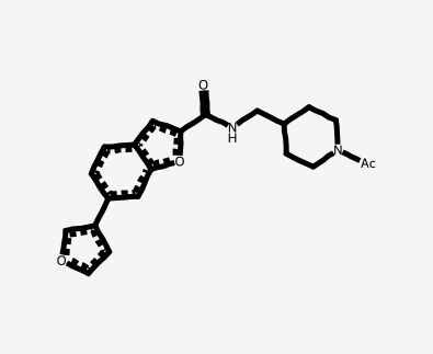 CC(=O)N1CCC(CNC(=O)c2cc3ccc(-c4ccoc4)cc3o2)CC1